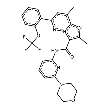 Cc1nc2c(C)cc(-c3ccccc3OC(F)(F)F)nn2c1C(=O)Nc1cccc(N2CCOCC2)n1